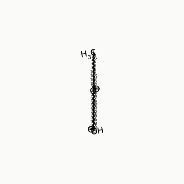 CCCCCCCCC=CCCCCCCCCCC(=O)OCCCCCCCCCCCCCCCCCCCC(=O)O